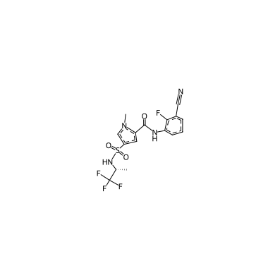 C[C@@H](NS(=O)(=O)c1cc(C(=O)Nc2cccc(C#N)c2F)n(C)c1)C(F)(F)F